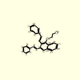 [O]CCOc1c(C=Cc2ccccc2)c(C=Cc2ccccc2)cc2ccccc12